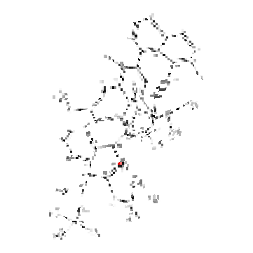 CSc1nc2c3c(nc(-c4cccc5ccc(F)c(C#C[Si](C(C)C)(C(C)C)C(C)C)c45)c(F)c3n1)OCCN2C(C)c1cccnc1N(C(=O)OC(C)(C)C)C(=O)OC(C)(C)C